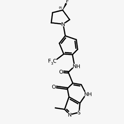 Cc1nsc2[nH]cc(C(=O)Nc3ccc(N4CC[C@@H](F)C4)cc3C(F)(F)F)c(=O)c12